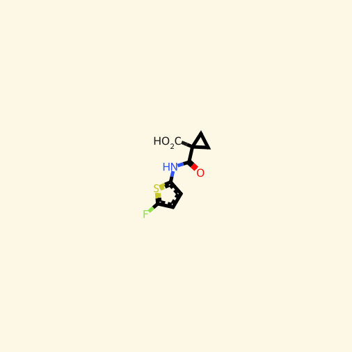 O=C(O)C1(C(=O)Nc2ccc(F)s2)CC1